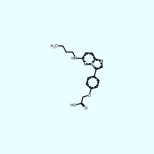 CCCCNc1ccc2ncc(-c3ccc(OCC(=O)O)cc3)n2n1